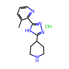 Cc1cccnc1-c1nnc(C2CCNCC2)[nH]1.Cl